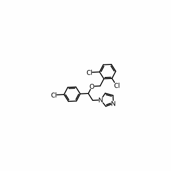 Clc1ccc(C(Cn2ccnc2)OCc2c(Cl)cccc2Cl)cc1